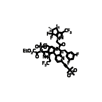 CCOC(=O)C(=O)N(c1nn(CC(F)(F)F)c2c(-c3ccc(C#CC(C)(C)S(C)(=O)=O)nc3[C@H](Cc3cc(F)cc(F)c3)NC(=O)Cn3nc(C(F)(F)F)c4c3C(F)(F)[C@H](C)[C@@H]4C)ccc(Cl)c12)S(C)(=O)=O